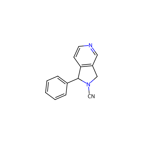 N#CN1Cc2cnccc2C1c1ccccc1